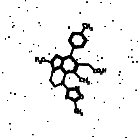 Cc1ccc(-c2c(CC(=O)O)c(C)c3c4c2cc(C)n4CCN3c2noc(C)n2)cc1